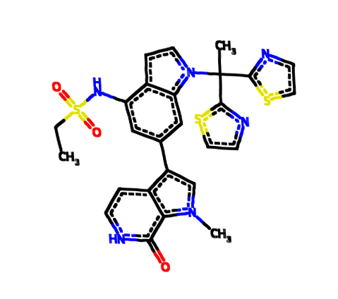 CCS(=O)(=O)Nc1cc(-c2cn(C)c3c(=O)[nH]ccc23)cc2c1ccn2C(C)(c1nccs1)c1nccs1